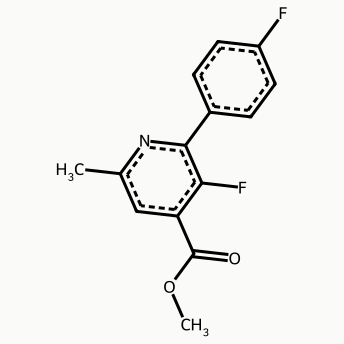 COC(=O)c1cc(C)nc(-c2ccc(F)cc2)c1F